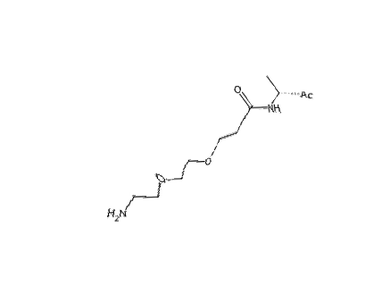 CC(=O)[C@@H](C)NC(=O)CCOCCOCCN